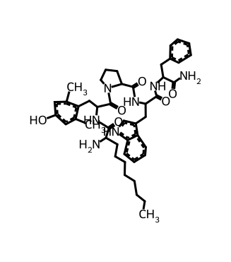 CCCCCCCCC(N)C(=O)NC(Cc1c(C)cc(O)cc1C)C(=O)N1CCCC1C(=O)NC(Cc1c[nH]c2ccccc12)C(=O)NC(Cc1ccccc1)C(N)=O